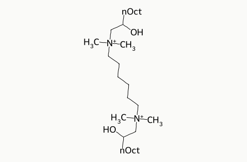 CCCCCCCCC(O)C[N+](C)(C)CCCCCC[N+](C)(C)CC(O)CCCCCCCC